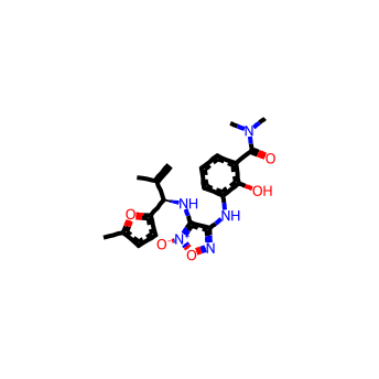 C=C(C)[C@@H](Nc1c(Nc2cccc(C(=O)N(C)C)c2O)no[n+]1[O-])c1ccc(C)o1